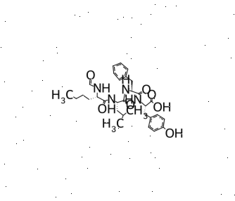 CCCC[C@H](NC=O)C(=O)N[C@@H](CC(C)C)C(=O)N[C@@H](Cc1ccccc1)C(=O)N[C@@H](Cc1ccc(O)cc1)C(=O)O